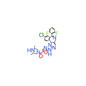 CC1CN(C(=O)c2cnc(Nc3ncc4c(n3)-c3ccc(Cl)cc3C(c3c(F)cccc3F)=NC4)o2)CC(C)N1